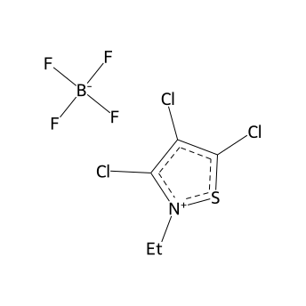 CC[n+]1sc(Cl)c(Cl)c1Cl.F[B-](F)(F)F